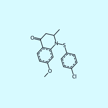 COc1ccc2c(c1)N(Sc1ccc(Cl)cc1)C(C)CC2=O